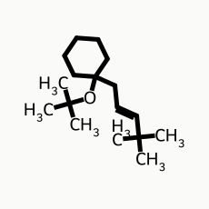 CC(C)(C)/C=C/CC1(OC(C)(C)C)CCCCC1